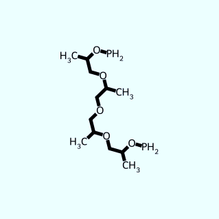 CC(COC(C)COCC(C)OCC(C)OP)OP